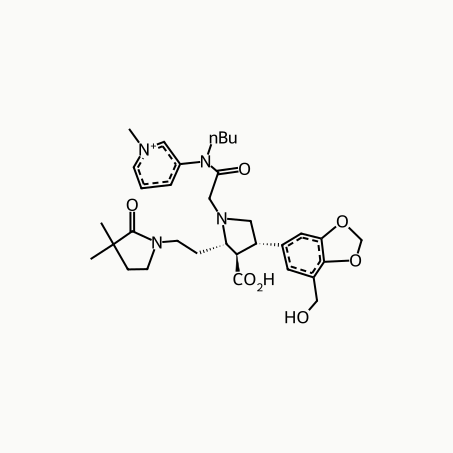 CCCCN(C(=O)CN1C[C@H](c2cc(CO)c3c(c2)OCO3)[C@@H](C(=O)O)[C@@H]1CCN1CCC(C)(C)C1=O)c1ccc[n+](C)c1